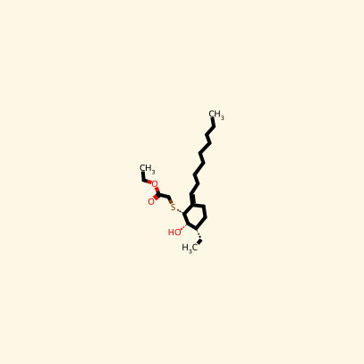 CCCCCCCCC=C1CC[C@H](CC)[C@H](O)[C@@H]1SCC(=O)OCC